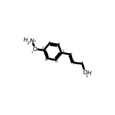 NOc1ccc(/C=C/CO)cc1